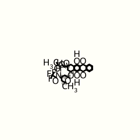 CC(=O)OC[C@]1(O)Cc2c(O)c3c(c(O)c2[C@@H](O[C@H]2C[C@H](NC(=O)C(F)(F)F)C[C@H](C)O2)C1)C(=O)c1ccccc1C3=O